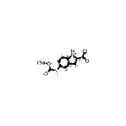 CC(C)(C)OC(=O)Nc1ccc2[nH]c(C(=O)Cl)cc2c1